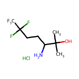 CC(C)(O)C(N)CCC(F)(F)C(F)(F)F.Cl